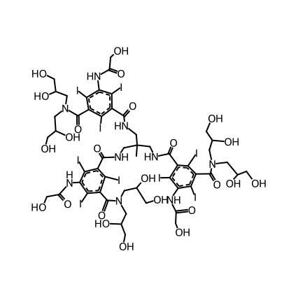 CC(CNC(=O)c1c(I)c(NC(=O)CO)c(I)c(C(=O)N(CC(O)CO)CC(O)CO)c1I)(CNC(=O)c1c(I)c(NC(=O)CO)c(I)c(C(=O)N(CC(O)CO)CC(O)CO)c1I)CNC(=O)c1c(I)c(NC(=O)CO)c(I)c(C(=O)N(CC(O)CO)CC(O)CO)c1I